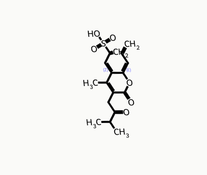 C=C/C=c1/oc(=O)c(CC(=O)C(C)C)c(C)/c1=C/C(=C)S(=O)(=O)O